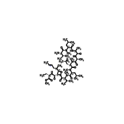 C/C=C/C[C@@H](C)[C@H]1ON(C(=O)[C@H](C(C)C)N(C)C(=O)[C@H](CC(C)C)N(C)C(=O)[C@H](CC(C)C)N(C)C(=O)C(C)NC(=O)[C@H](C)NC(=O)[C@H](CC(C)C)N(C)C(=O)[C@@H](N)C(C)C)[C@@H]1C(=O)N[C@@H](CC)C(=O)OC